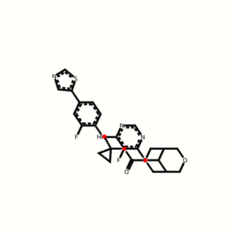 CC1(OC(=O)N2CC3COCC(C2)C3Oc2ncnc(Nc3ccc(-c4cncs4)cc3F)c2F)CC1